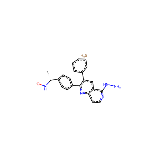 C[C@@H](N[O])c1ccc(-c2nc3ccnc(NN)c3cc2-c2ccccc2)cc1.S